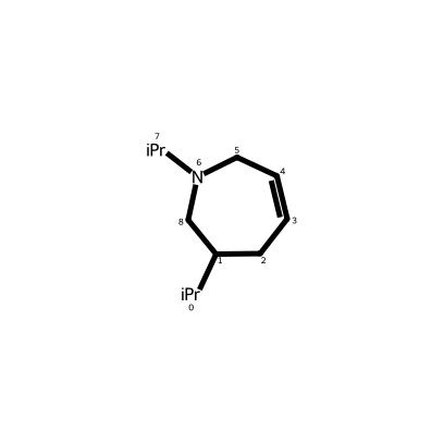 CC(C)C1CC=CCN(C(C)C)C1